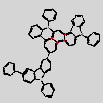 c1ccc(-c2ccc3c(c2)c2cc(-c4cc(-c5ccc6c(c5)c5ccccc5n6-c5ccccc5)cc(-c5ccccc5N(c5ccccc5)c5ccccc5)c4)ccc2n3-c2ccccc2)cc1